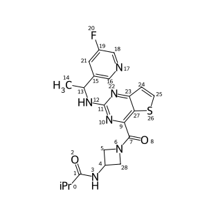 CC(C)C(=O)NC1CN(C(=O)c2nc(NC(C)c3cncc(F)c3)nc3ccsc23)C1